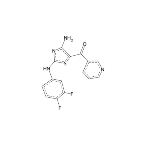 Nc1nc(Nc2ccc(F)c(F)c2)sc1C(=O)c1cccnc1